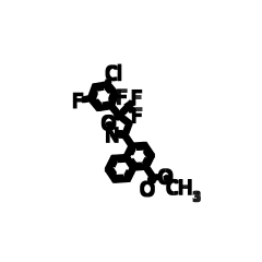 COC(=O)c1ccc(C2=NOC(c3cc(F)cc(Cl)c3)(C(F)(F)F)C2)c2ccccc12